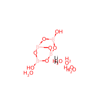 O.O.O.O.O.OB1OB2OB(O)OB(O1)O2.[LiH]